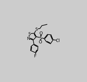 CCCSc1snc(-c2ccc(F)cc2)c1S(=O)(=O)c1ccc(Cl)cc1